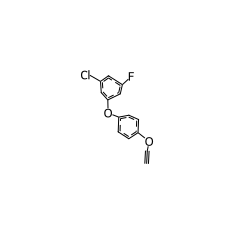 C#COc1ccc(Oc2cc(F)cc(Cl)c2)cc1